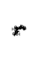 CC(=O)Nc1ccc(-c2cc(-c3ccc(OC4CCCCO4)c(C)c3)cc(=O)[nH]2)c(C)c1